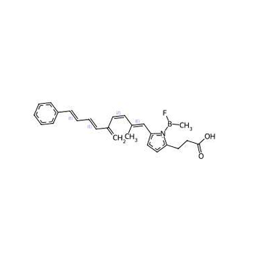 C=C(/C=C\C(C)=C\c1ccc(CCC(=O)O)n1B(C)F)/C=C/C=C/c1ccccc1